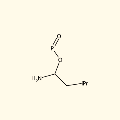 CC(C)CC(N)OP=O